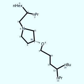 CCCCCCC(CCC)CN1CC[C@@H](OCCCC(CCC)CCCC)C1